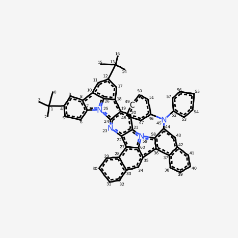 CC(C)(C)c1ccc2c(c1)c1cc(C(C)(C)C)cc3c4cc5c(nc4n2c13)c1c2ccccc2cc2c3c4ccccc4cc(N(c4ccccc4)c4ccccc4)c3n5c21